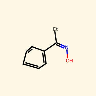 CC/C(=N/O)c1ccccc1